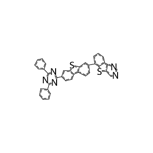 c1ccc(-c2nc(-c3ccccc3)nc(-c3ccc4c(c3)sc3cc(-c5cccc6c5sc5cncnc56)ccc34)n2)cc1